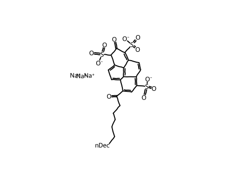 CCCCCCCCCCCCCCCC(=O)c1cc(S(=O)(=O)[O-])c2ccc3c4c(ccc1c24)C(S(=O)(=O)[O-])C(=O)C=3S(=O)(=O)[O-].[Na+].[Na+].[Na+]